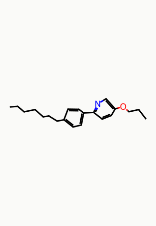 CCCCCCCc1ccc(-c2ccc(OCCC)cn2)cc1